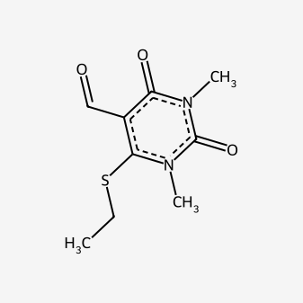 CCSc1c(C=O)c(=O)n(C)c(=O)n1C